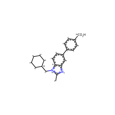 Cc1nc2cc(-c3ccc(C(=O)O)cc3)ccc2n1CC1CCCCC1